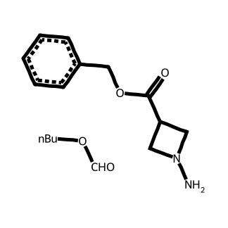 CCCCOC=O.NN1CC(C(=O)OCc2ccccc2)C1